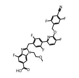 COCCn1c(Cc2cc(F)c(-c3ccc(F)c(OCc4cc(F)c(C#N)cc4F)n3)cc2F)nc2c(F)cc(C(=O)O)cc21